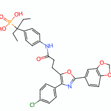 CCC(CC)(c1ccc(NC(=O)CCc2oc(-c3ccc4c(c3)OCO4)nc2-c2ccc(Cl)cc2)cc1)P(=O)(O)O